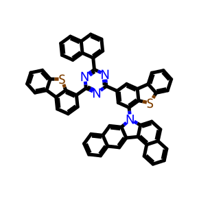 c1ccc2cc3c(cc2c1)c1c2ccccc2ccc1n3-c1cc(-c2nc(-c3cccc4ccccc34)nc(-c3cccc4c3sc3ccccc34)n2)cc2c1sc1ccccc12